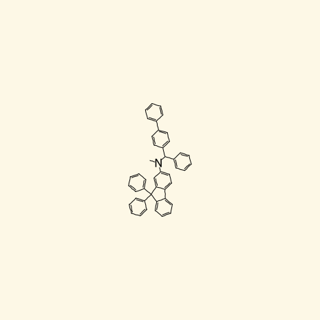 CN(c1ccc2c(c1)C(c1ccccc1)(c1ccccc1)c1ccccc1-2)C(c1ccccc1)c1ccc(-c2ccccc2)cc1